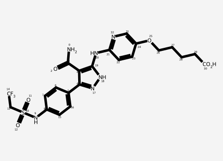 NC(=O)c1c(-c2ccc(NS(=O)(=O)CC(F)(F)F)cc2)n[nH]c1Nc1ccc(OCCCCC(=O)O)cn1